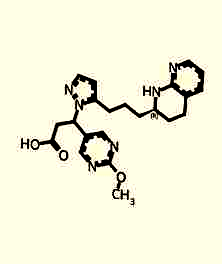 COc1ncc(C(CC(=O)O)n2nccc2CCC[C@@H]2CCc3cccnc3N2)cn1